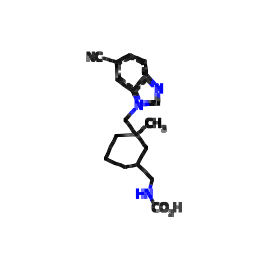 CC1(Cn2cnc3ccc(C#N)cc32)CCCC(CNC(=O)O)C1